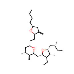 C=C1C[C@H](CCCC)OC1CC[C@H]1C[C@@H](C)C(=C)C(C[C@@H]2O[C@H](C[C@H](C)CC)[C@H](C)[C@H]2CC)O1